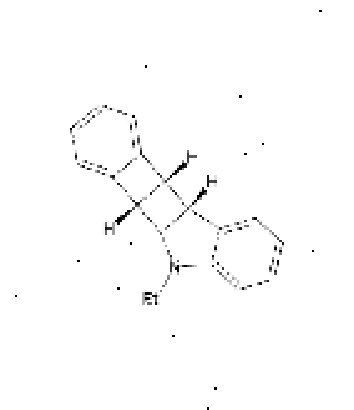 CCN1c2ccccc2[C@@H]2C1[C@@H]1c3ccccc3[C@H]21